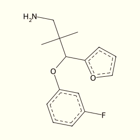 CC(C)(CN)C(Oc1cccc(F)c1)c1ccco1